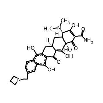 CN(C)[C@@H]1C(O)=C(C(N)=O)C(=O)[C@@]2(O)C(O)=C3C(=O)c4c(c(O)c5ccc(CN6CCC6)cc5c4O)C[C@H]3C[C@@H]12